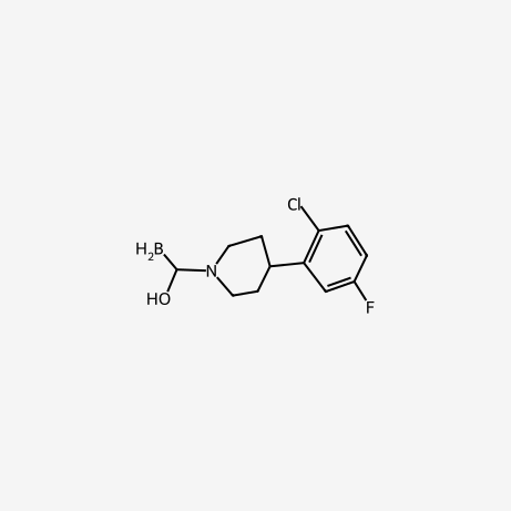 BC(O)N1CCC(c2cc(F)ccc2Cl)CC1